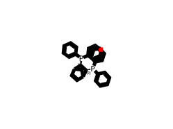 C1=CC2CC1[C@@H](P(c1ccccc1)c1ccccc1)[C@@H]2P(c1ccccc1)c1ccccc1